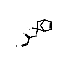 C=CC(=O)OC1(C)CC2C=CC1C2